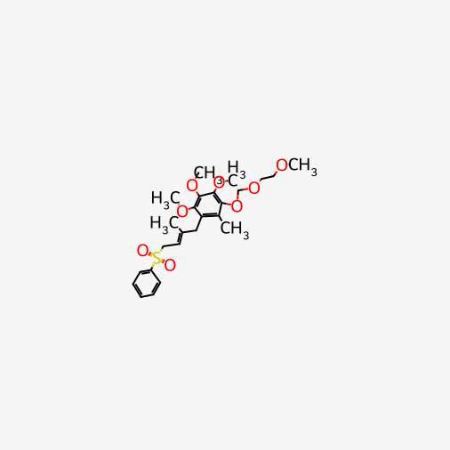 COCCOCOc1c(C)c(C/C(C)=C/CS(=O)(=O)c2ccccc2)c(OC)c(OC)c1OC